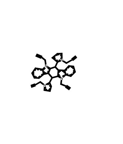 C#CCn1cccc1C1c2c(n(CC#C)c3ccccc23)C(c2cccn2CC#C)c2c1n(CC#C)c1ccccc21